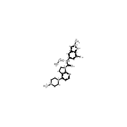 CN1CCN(c2ccnc3c2CCN3C(=O)Nc2cc(F)c3nn(C)cc3c2)CC1.O=CO